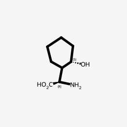 N[C@@H](C(=O)O)C1CCCC[C@@H]1O